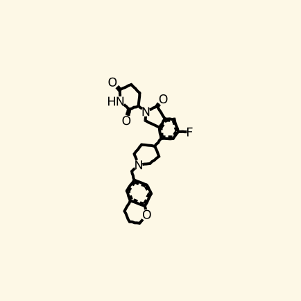 O=C1CCC(N2Cc3c(cc(F)cc3C3CCN(Cc4ccc5c(c4)CCCO5)CC3)C2=O)C(=O)N1